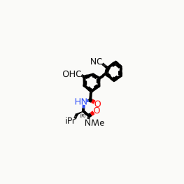 CNC(=O)[C@@H](CC(C)C)NC(=O)c1cc(C=O)cc(-c2ccccc2C#N)c1